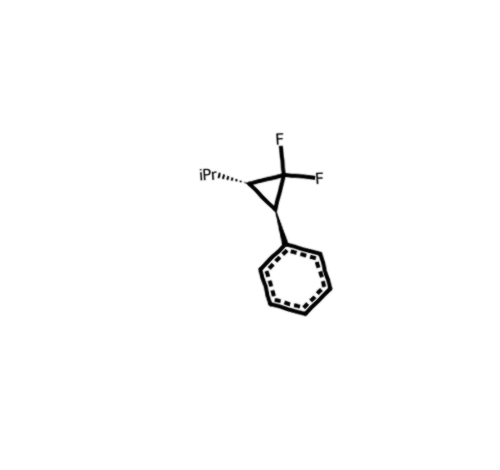 CC(C)[C@H]1[C@H](c2ccccc2)C1(F)F